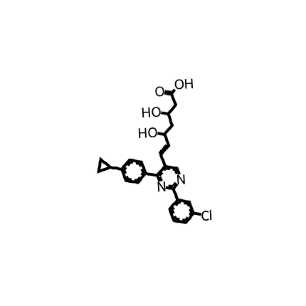 O=C(O)CC(O)CC(O)/C=C/c1cnc(-c2cccc(Cl)c2)nc1-c1ccc(C2CC2)cc1